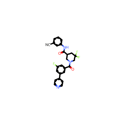 N#Cc1cccc(NC(=O)C2CN(C(=O)c3cc(F)cc(-c4ccncc4)c3)CC(F)(F)C2)c1